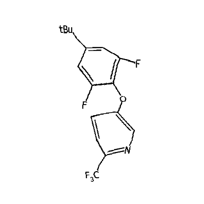 CC(C)(C)c1cc(F)c(Oc2ccc(C(F)(F)F)nc2)c(F)c1